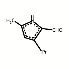 Cc1cc(C(C)C)c(C=O)[nH]1